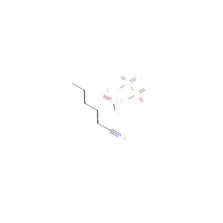 CCCCCC#N.O=PO.O=S(=O)(O)S(=O)(=O)O